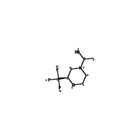 CC(S)N1CCO[C@@H](C(F)(F)F)C1